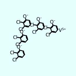 [O-]c1cccc(Cl)c1Cl.[O-]c1cccc(Cl)c1Cl.[O-]c1cccc(Cl)c1Cl.[O-]c1cccc(Cl)c1Cl.[O-]c1cccc(Cl)c1Cl.[V+5]